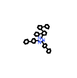 c1ccc(-c2ccc(-c3nc(-c4ccc(-c5ccccc5)cc4)nc(-c4cccc(-c5ccccc5-c5ccccc5)c4-c4ccccc4)n3)cc2)cc1